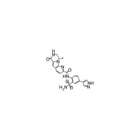 C[C@@H]1CNC(=O)c2cc3ccc(C(=O)Nc4ccc(-c5cn[nH]c5)cc4S(N)(=O)=O)nc3n21